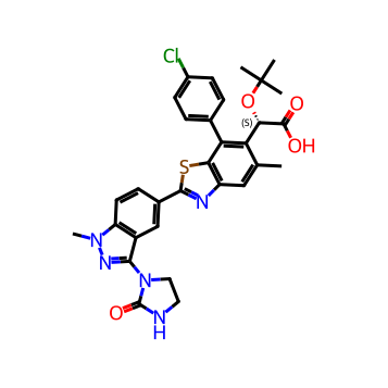 Cc1cc2nc(-c3ccc4c(c3)c(N3CCNC3=O)nn4C)sc2c(-c2ccc(Cl)cc2)c1[C@H](OC(C)(C)C)C(=O)O